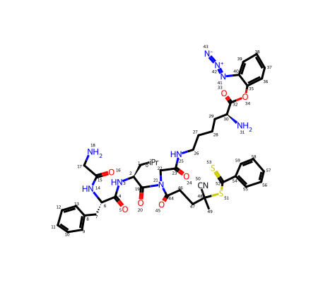 CC(C)C[C@H](NC(=O)[C@H](Cc1ccccc1)NC(=O)CN)C(=O)N(CC(=O)NCCCC[C@H](N)C(=O)Oc1ccccc1N=[N+]=[N-])C(=O)CCC(C)(C#N)SC(=S)c1ccccc1